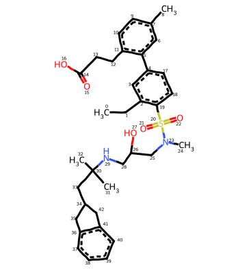 CCc1cc(-c2cc(C)ccc2CCC(=O)O)ccc1S(=O)(=O)N(C)CC(O)CNC(C)(C)CC1Cc2ccccc2C1